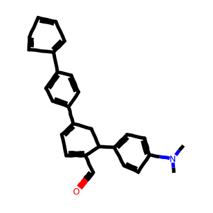 CN(C)c1ccc(C2CC(c3ccc(-c4ccccc4)cc3)=CC=C2C=O)cc1